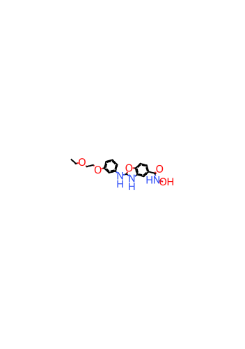 CCOCCOc1cccc(NC2Nc3cc(C(=O)NO)ccc3O2)c1